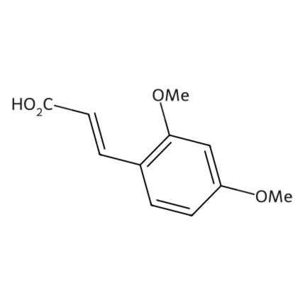 COc1ccc(C=CC(=O)O)c(OC)c1